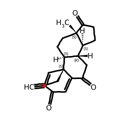 C#CC[C@]12C=CC(=O)C=C1C(=O)C[C@H]1[C@@H]3CCC(=O)[C@@]3(C)CC[C@@H]12